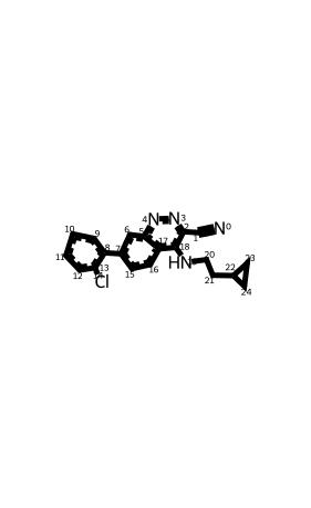 N#Cc1nnc2cc(-c3ccccc3Cl)ccc2c1NCCC1CC1